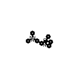 c1ccc(-c2nc(-c3ccccc3)nc(-c3ccc(-c4ccc5nc(-c6ccccc6)c6c(-c7ccccc7)c(-c7ccccc7)oc6c5c4)cc3)n2)cc1